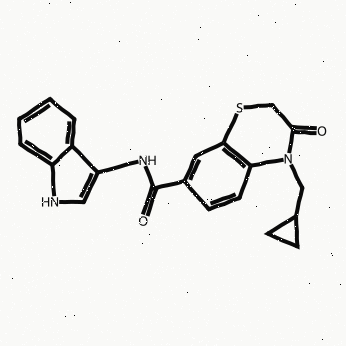 O=C(Nc1c[nH]c2ccccc12)c1ccc2c(c1)SCC(=O)N2CC1CC1